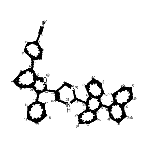 N#Cc1ccc(-c2cccc3c(-c4ccccc4)c(C4=CNC(c5c6ccccc6c(-c6cccc7ccccc67)c6ccccc56)N=C4)oc23)cc1